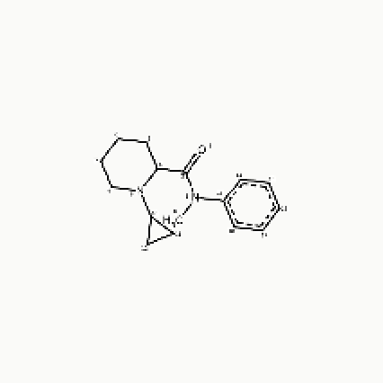 CN(C(=O)C1CCCCN1C1CC1)c1ccccc1